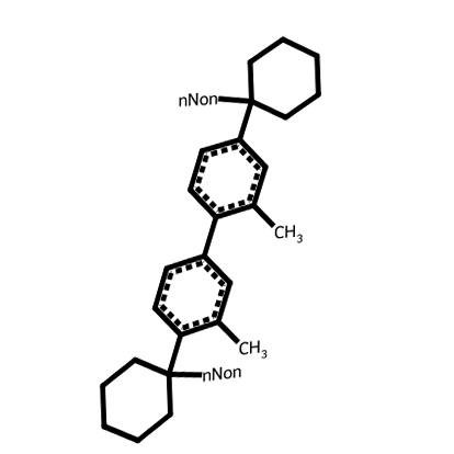 CCCCCCCCCC1(c2ccc(-c3ccc(C4(CCCCCCCCC)CCCCC4)c(C)c3)c(C)c2)CCCCC1